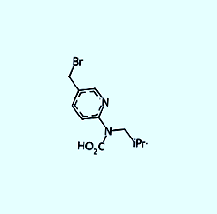 C[C](C)CN(C(=O)O)c1ccc(CBr)cn1